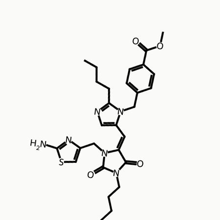 CCCCc1ncc(C=C2C(=O)N(CCCC)C(=O)N2Cc2csc(N)n2)n1Cc1ccc(C(=O)OC)cc1